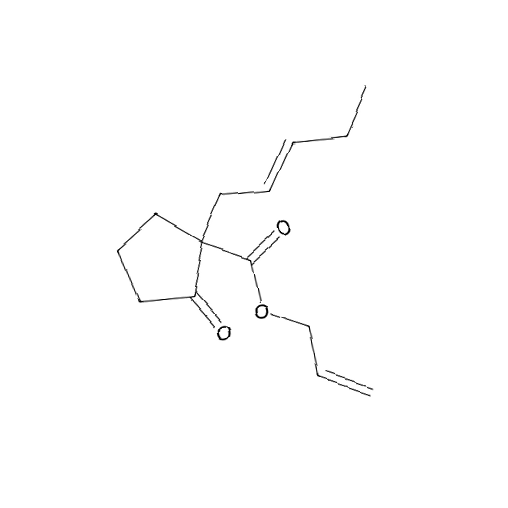 C=CCOC(=O)C1(CC=CCC)CCCC1=O